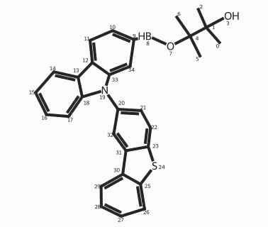 CC(C)(O)C(C)(C)OBc1ccc2c3ccccc3n(-c3ccc4sc5ccccc5c4c3)c2c1